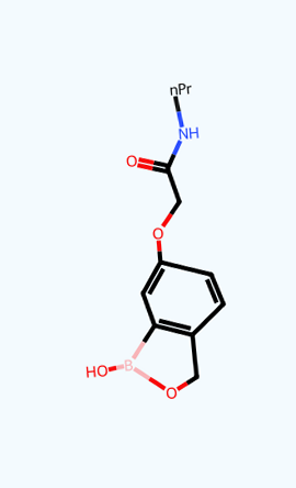 CCCNC(=O)COc1ccc2c(c1)B(O)OC2